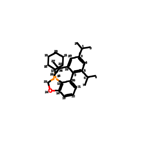 CC(C)c1cc(C(C)C)c(-c2cccc3c2P(C2CCCCC2)CO3)c(C(C)C)c1